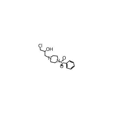 O=S(=O)(c1ccccc1)N1CCN(CC(O)CCl)CC1